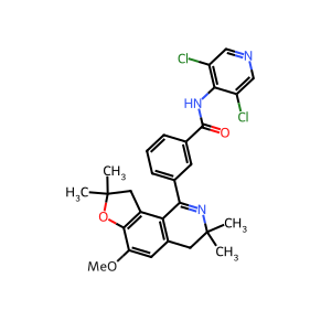 COc1cc2c(c3c1OC(C)(C)C3)C(c1cccc(C(=O)Nc3c(Cl)cncc3Cl)c1)=NC(C)(C)C2